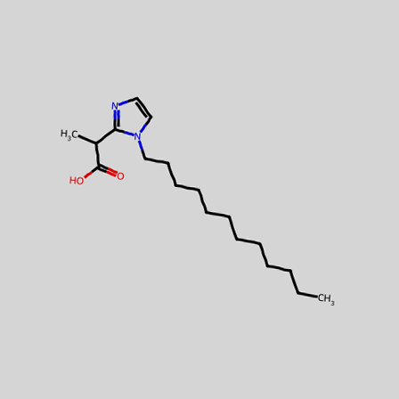 CCCCCCCCCCCCn1ccnc1C(C)C(=O)O